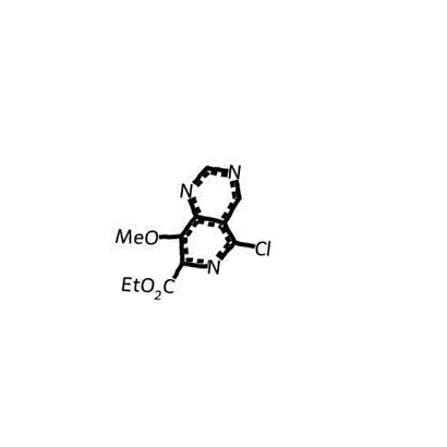 CCOC(=O)c1nc(Cl)c2cncnc2c1OC